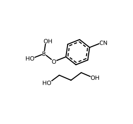 N#Cc1ccc(OB(O)O)cc1.OCCCO